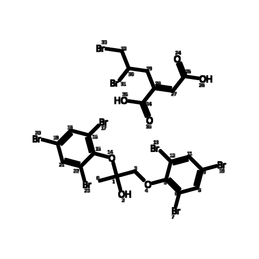 CC(O)(COc1c(Br)cc(Br)cc1Br)Oc1c(Br)cc(Br)cc1Br.O=C(O)/C=C(\CC(Br)CBr)C(=O)O